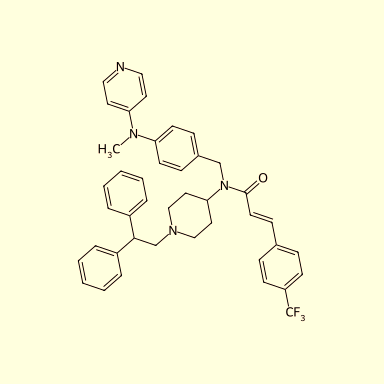 CN(c1ccncc1)c1ccc(CN(C(=O)C=Cc2ccc(C(F)(F)F)cc2)C2CCN(CC(c3ccccc3)c3ccccc3)CC2)cc1